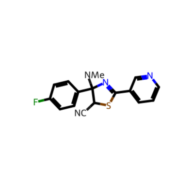 CNC1(c2ccc(F)cc2)N=C(c2cccnc2)SC1C#N